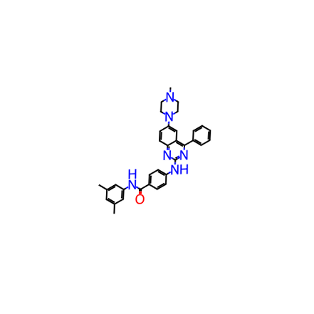 Cc1cc(C)cc(NC(=O)c2ccc(Nc3nc(-c4ccccc4)c4cc(N5CCN(C)CC5)ccc4n3)cc2)c1